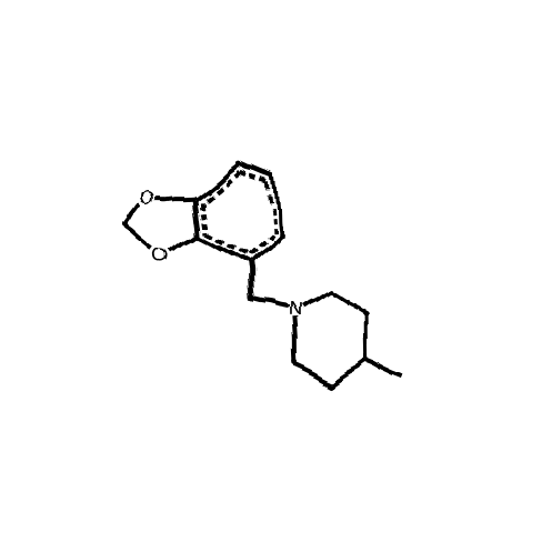 CC1CCN(Cc2cccc3c2OCO3)CC1